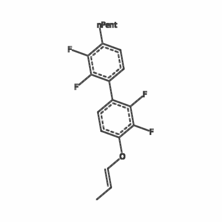 C/C=C/Oc1ccc(-c2ccc(CCCCC)c(F)c2F)c(F)c1F